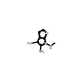 CNn1c(N)c(N)c2ccoc21